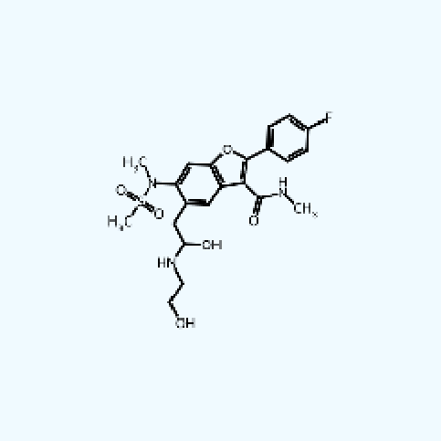 CNC(=O)c1c(-c2ccc(F)cc2)oc2cc(N(C)S(C)(=O)=O)c(CC(O)NCCO)cc12